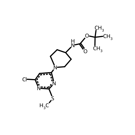 CSc1nc(Cl)cc(N2CCC(NC(=O)OC(C)(C)C)CC2)n1